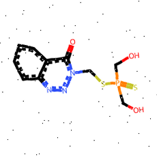 O=c1c2ccccc2nnn1CSP(=S)(CO)CO